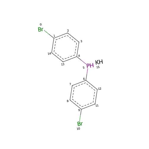 Brc1ccc(Pc2ccc(Br)cc2)cc1.[KH]